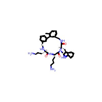 Cc1cccc2c1-c1cccc(c1)CN[C@@H](CCCN)C(=O)N[C@@H](CCCCN)C(=O)N(C)[C@@H](Cc1c[nH]c3ccccc13)C(=O)NC2